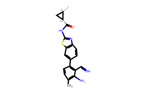 Cc1ccc(-c2ccc3nc(NC(=O)[C@@H]4C[C@@H]4F)sc3c2)c(C=N)c1N